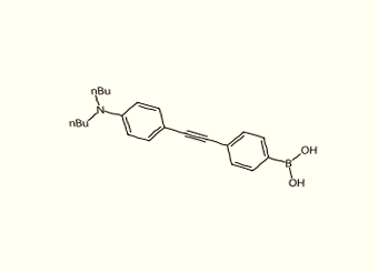 CCCCN(CCCC)c1ccc(C#Cc2ccc(B(O)O)cc2)cc1